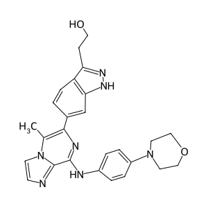 Cc1c(-c2ccc3c(CCO)n[nH]c3c2)nc(Nc2ccc(N3CCOCC3)cc2)c2nccn12